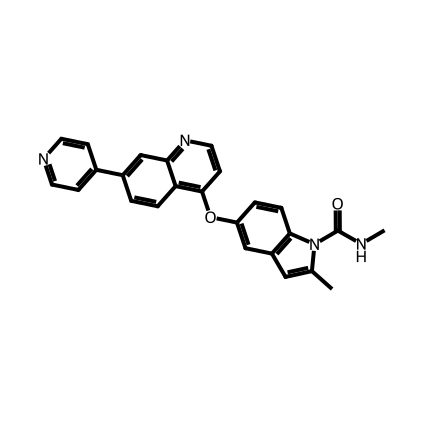 CNC(=O)n1c(C)cc2cc(Oc3ccnc4cc(-c5ccncc5)ccc34)ccc21